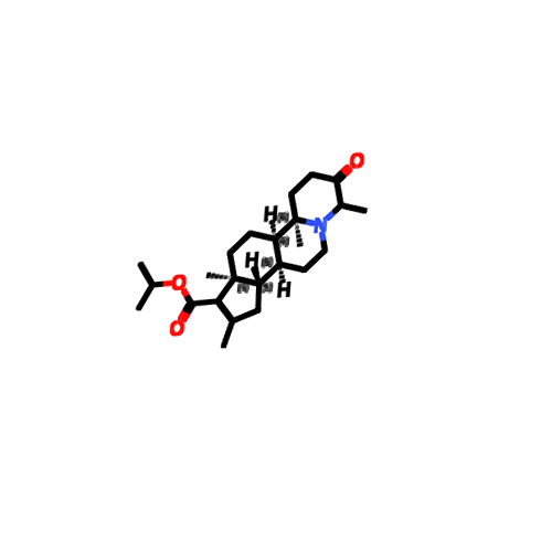 CC(C)OC(=O)C1C(C)C[C@H]2[C@@H]3CCN4C(C)C(=O)CC[C@]4(C)[C@@H]3CC[C@]12C